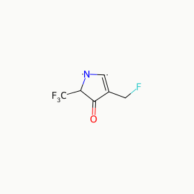 O=C1C(CF)=[C][N]C1C(F)(F)F